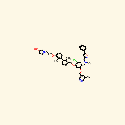 Cc1c(COc2cc(OCc3cncc(C#N)c3)c(CN(C)Cc3cc(-c4ccccc4)on3)cc2Cl)cccc1-c1cccc(OCCCN2CC[C@@H](O)C2)c1C